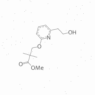 COC(=O)C(C)(C)COc1cccc(CCO)n1